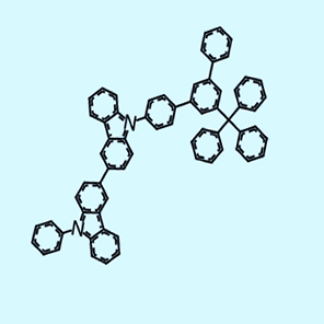 c1ccc(-c2cc(-c3ccc(-n4c5ccccc5c5cc(-c6ccc7c(c6)c6ccccc6n7-c6ccccc6)ccc54)cc3)cc(C(c3ccccc3)(c3ccccc3)c3ccccc3)c2)cc1